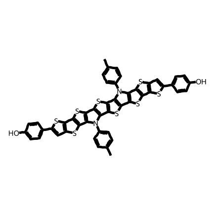 Cc1ccc(-n2c3c4sc5cc(-c6ccc(O)cc6)sc5c4sc3c3sc4c(sc5c6sc7c8sc(-c9ccc(O)cc9)cc8sc7c6n(-c6ccc(C)cc6)c54)c32)cc1